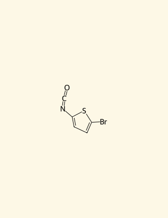 O=C=Nc1ccc(Br)s1